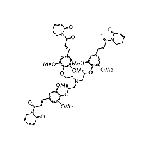 COc1cc(/C=C/C(=O)N2CCC=CC2=O)cc(OC)c1OCCN(CCOc1c(OC)cc(/C=C/C(=O)N2CCC=CC2=O)cc1OC)CCOc1c(OC)cc(/C=C/C(=O)N2CCC=CC2=O)cc1OC